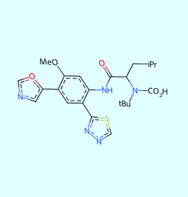 COc1cc(NC(=O)C(CC(C)C)N(C(=O)O)C(C)(C)C)c(-c2nncs2)cc1-c1cnco1